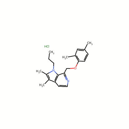 CCCn1c(C)c(C)c2ccnc(COc3ccc(C)cc3C)c21.Cl